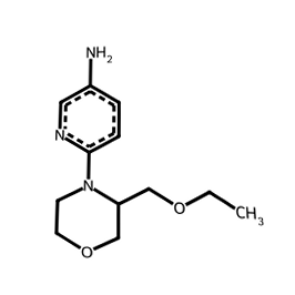 CCOCC1COCCN1c1ccc(N)cn1